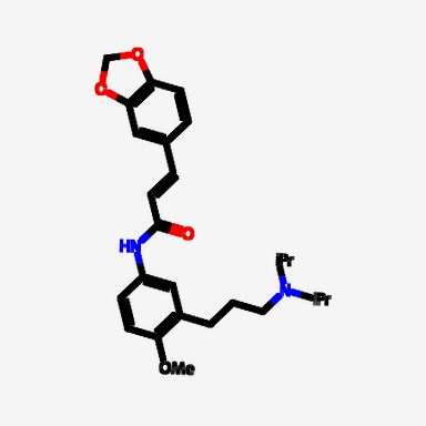 COc1ccc(NC(=O)C=Cc2ccc3c(c2)OCO3)cc1CCCN(C(C)C)C(C)C